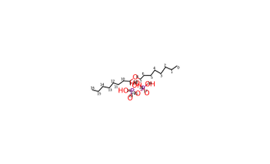 CCCCCCCCOCCCCCCCC.O=P(O)(O)OP(=O)(O)O